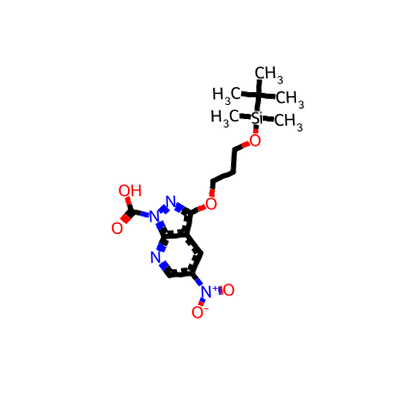 CC(C)(C)[Si](C)(C)OCCCOc1nn(C(=O)O)c2ncc([N+](=O)[O-])cc12